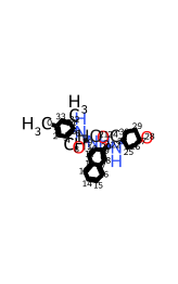 Cc1cc(C)c(NC(=O)Nc2cc3ccccc3cc2C(=O)NC2(C(=O)O)CCC(=O)CC2)c(C)c1